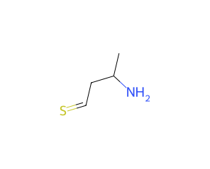 CC(N)CC=S